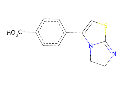 O=C(O)c1ccc(C2=CSC3=NCCN23)cc1